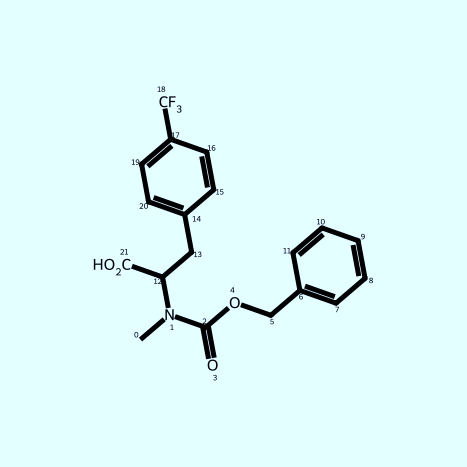 CN(C(=O)OCc1ccccc1)C(Cc1ccc(C(F)(F)F)cc1)C(=O)O